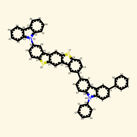 c1ccc(-c2ccc3c(c2)c2cc(-c4ccc5sc6cc7c(cc6c5c4)sc4ccc(-n5c6ccccc6c6ccccc65)cc47)ccc2n3-c2ccccc2)cc1